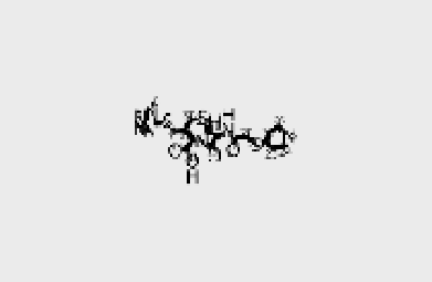 Cn1nnnc1SCC1=C(C(=O)O)N2C(=O)C(NC(=O)CSc3ccncc3)[C@@H]2SC1